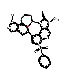 Cn1ncc2cc(-c3cn(S(=O)(=O)c4ccccc4)c4ncc5c(c34)n(C3CCOCC3)c(=O)n5C)ccc21